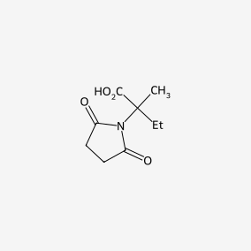 CCC(C)(C(=O)O)N1C(=O)CCC1=O